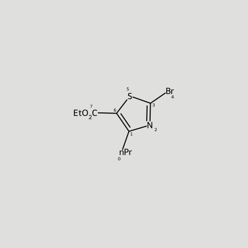 CCCc1nc(Br)sc1C(=O)OCC